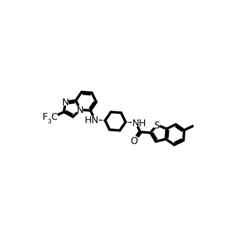 Cc1ccc2cc(C(=O)N[C@H]3CC[C@@H](Nc4cccc5nc(C(F)(F)F)cn45)CC3)sc2c1